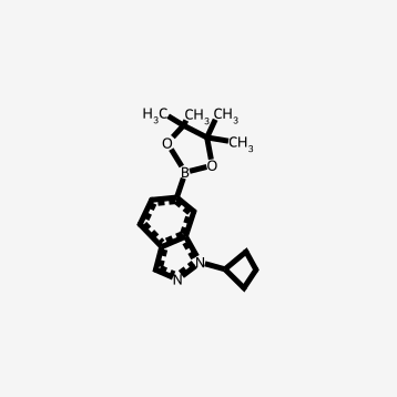 CC1(C)OB(c2ccc3cnn(C4CCC4)c3c2)OC1(C)C